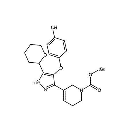 CC(C)(C)OC(=O)N1CCC=C(c2n[nH]c(C3CCCCO3)c2Oc2ccc(C#N)cc2)C1